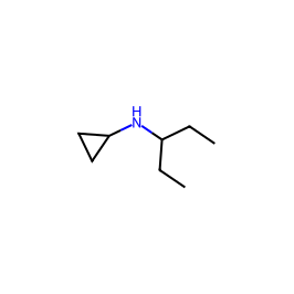 CCC(CC)NC1CC1